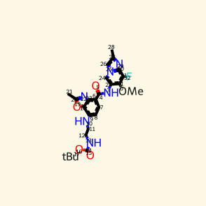 COc1c(NC(=O)c2ccc(NCCNC(=O)OC(C)(C)C)c3oc(C)nc23)cn2cc(C)nc2c1F